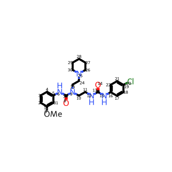 COc1cccc(NC(=O)N(CCNC(=O)Nc2ccc(Cl)cc2)CCN2CCCCC2)c1